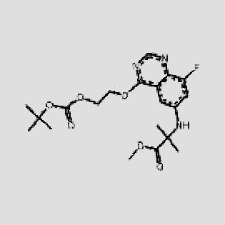 COC(=O)C(C)(C)Nc1cc(F)c2ncnc(OCCOC(=O)OC(C)(C)C)c2c1